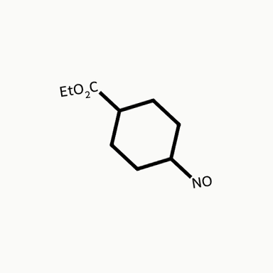 CCOC(=O)C1CCC(N=O)CC1